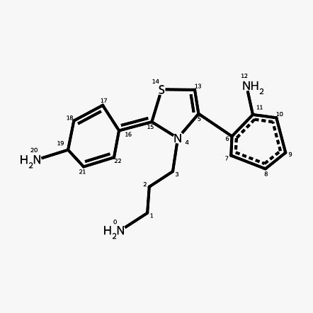 NCCCN1C(c2ccccc2N)=CSC1=C1C=CC(N)C=C1